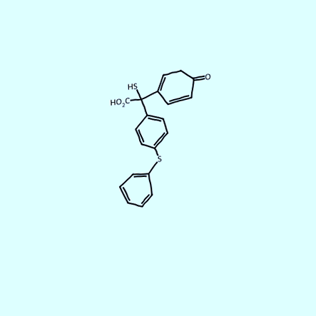 O=C1C=CC(C(S)(C(=O)O)c2ccc(Sc3ccccc3)cc2)=CC1